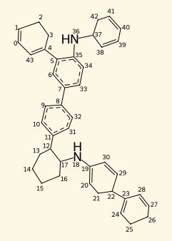 C1=CCCC(c2cc(-c3ccc(C4CCCCC4NC4=CCC(C5=CCCC=C5)C=C4)cc3)ccc2NC2C=CC=CC2)=C1